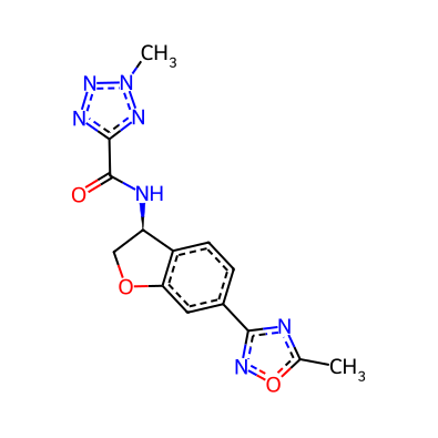 Cc1nc(-c2ccc3c(c2)OC[C@H]3NC(=O)c2nnn(C)n2)no1